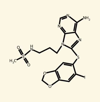 CS(=O)(=O)NCCCn1c(Sc2cc3c(cc2I)OCO3)nc2c(N)ncnc21